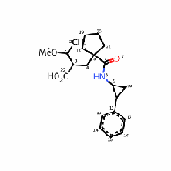 COC(C)C(CC1(C(=O)NC2CC2c2ccccc2)CCCC1)C(=O)O